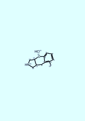 Cl.Fc1cccc2c1CC1CNCC1O2